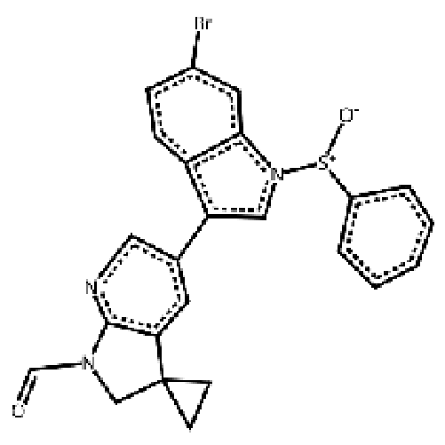 O=CN1CC2(CC2)c2cc(-c3cn([S+]([O-])c4ccccc4)c4cc(Br)ccc34)cnc21